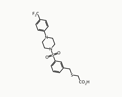 O=C(O)CSCc1cccc(S(=O)(=O)N2CCN(c3ccc(C(F)(F)F)cc3)CC2)c1